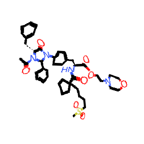 CC(=O)N1C(c2ccccc2)N(c2ccc(C[C@H](NC(=O)C3(CCCCS(C)(=O)=O)CCCC3)C(=O)OCCN3CCOCC3)cc2)C(=O)[C@H]1Cc1ccccc1